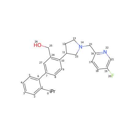 CC(C)c1ccccc1-c1ccc(C2CCN(Cc3ccc(F)cn3)C2)c(CO)c1